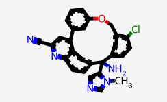 Cn1cncc1C1(N)c2ccc(Cl)c(c2)COc2cccc(c2)-c2cc(C#N)nc3ccc1cc23